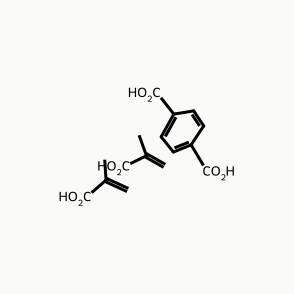 C=C(C)C(=O)O.C=C(C)C(=O)O.O=C(O)c1ccc(C(=O)O)cc1